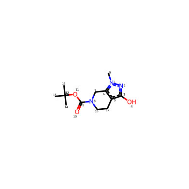 Cn1nc(O)c2c1CN(C(=O)OC(C)(C)C)CC2